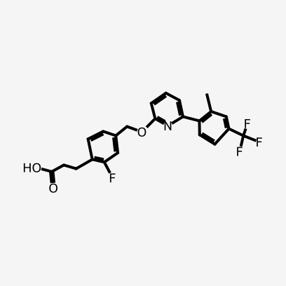 Cc1cc(C(F)(F)F)ccc1-c1cccc(OCc2ccc(CCC(=O)O)c(F)c2)n1